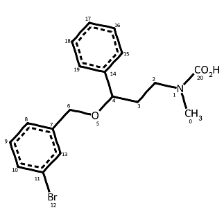 CN(CCC(OCc1cccc(Br)c1)c1ccccc1)C(=O)O